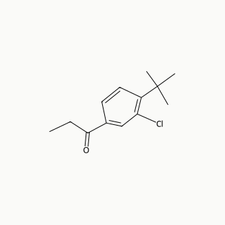 CCC(=O)c1ccc(C(C)(C)C)c(Cl)c1